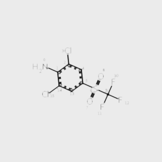 Nc1c(Cl)cc(S(=O)(=O)C(F)(F)F)cc1Cl